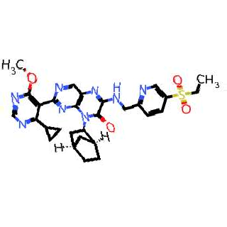 CCS(=O)(=O)c1ccc(CNc2nc3cnc(-c4c(OC)ncnc4C4CC4)nc3n([C@@H]3C[C@@H]4CC[C@H]3C4)c2=O)nc1